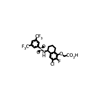 O=C(O)COc1c(F)c(Cl)cc2c1CCCC2NS(=O)(=O)c1cc(C(F)(F)F)cc(C(F)(F)F)c1